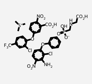 C[S+](C)C.Nc1c([N+](=O)[O-])ccc(Oc2ccccc2)c1Cl.O=C(O)CNCP(=O)([O-])O.O=C(O)c1cc(Oc2ccc(C(F)(F)F)cc2Cl)ccc1[N+](=O)[O-]